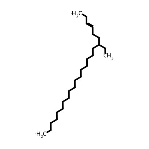 [CH2]CC=CCCC(CC)CCCCCCCCCCCCCCCC[CH2]